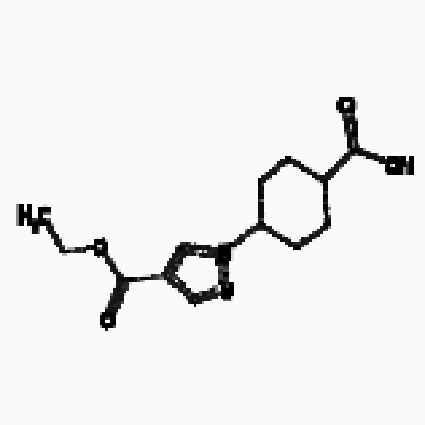 CCOC(=O)c1cnn(C2CCC(C(=O)O)CC2)c1